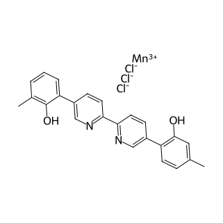 Cc1ccc(-c2ccc(-c3ccc(-c4cccc(C)c4O)cn3)nc2)c(O)c1.[Cl-].[Cl-].[Cl-].[Mn+3]